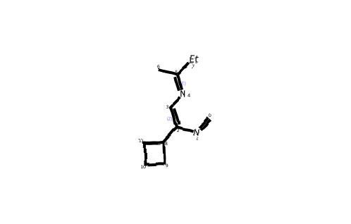 C=N/C(=C\N=C(/C)CC)C1CCC1